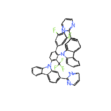 Fc1cc(F)cc(-c2ccc(-n3c4ccccc4c4ccc(-c5ncccn5)cc43)c(C(F)(F)F)c2-n2c3ccccc3c3ccc(-c4ncccn4)cc32)c1